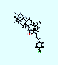 CC(C)C1=C2[C@H]3CC[C@@H]4[C@@]5(C)CC[C@H](C)C(C)(C)[C@@H]5CC[C@@]4(C)[C@]3(C)CC[C@@]2(C(O)CCCc2ccc(Cl)cc2)CC1